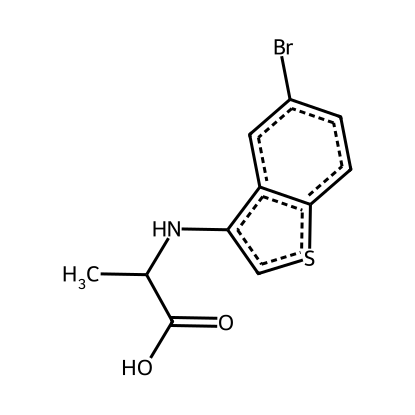 CC(Nc1csc2ccc(Br)cc12)C(=O)O